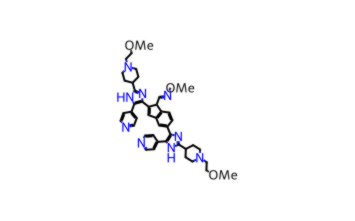 COCCN1CCC(c2nc(C3=Cc4cc(-c5nc(C6CCN(CCOC)CC6)[nH]c5-c5ccncc5)ccc4C3C=NOC)c(-c3ccncc3)[nH]2)CC1